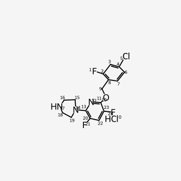 Cl.Fc1cc(Cl)ccc1COc1nc(N2CCNCC2)c(F)cc1F